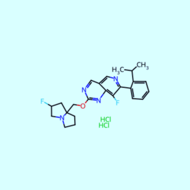 CC(C)c1ccccc1-c1ncc2cnc(OCC34CCCN3CC(F)C4)nc2c1F.Cl.Cl